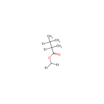 CCC(CC)OC(=O)C(C)(CC)C(C)(C)CC